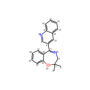 CC1(C)CN=C(c2cnc3ccccc3c2)c2ccccc2O1